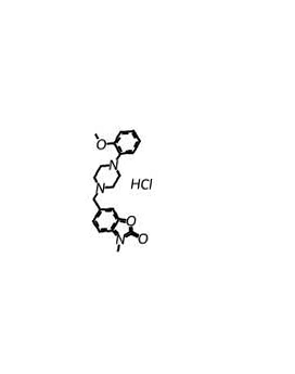 COc1ccccc1N1CCN(Cc2ccc3c(c2)oc(=O)n3C)CC1.Cl